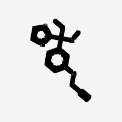 C#CCOc1cccc(C(CC)(OC)c2nccs2)c1